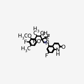 COc1c(C(C)C(C)C(O)(/C=N/c2cc(F)cc3[nH]c(=O)ccc23)C(F)(F)F)ccc(C)c1F